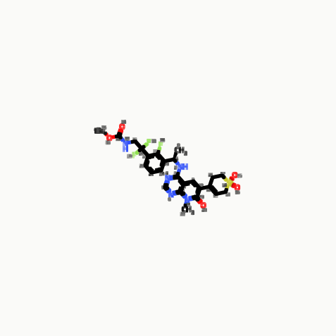 C[C@@H](Nc1ncnc2c1cc(C1=CCS(=O)(=O)CC1)c(=O)n2C)c1cccc(C(F)(F)CNC(=O)OC(C)(C)C)c1F